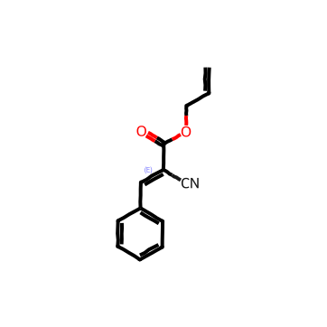 C=CCOC(=O)/C(C#N)=C/c1ccccc1